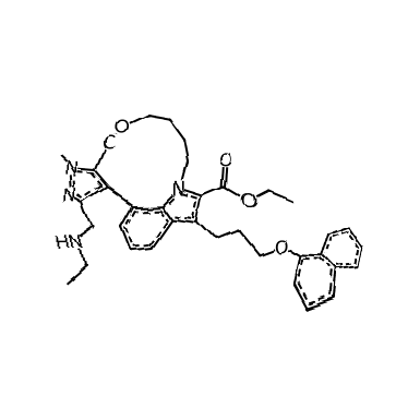 CCNCc1nn(C)c2c1-c1cccc3c(CCCOc4cccc5ccccc45)c(C(=O)OCC)n(c13)CCCCOC2